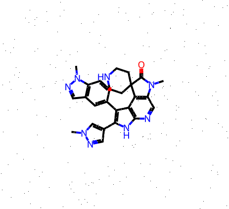 CN1C(=O)C2(CCNCC2)c2c1cnc1[nH]c(-c3cnn(C)c3)c(-c3ccc4c(cnn4C)c3)c21